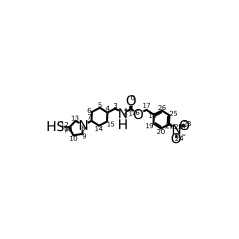 O=C(NCC1CCC(N2CC[C@@H](S)C2)CC1)OCc1ccc([N+](=O)[O-])cc1